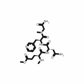 CN[C@@H](CCC(=O)OC)C(=O)N[C@@H](CC(N)=O)C(=O)N[C@@H](Cc1cccnc1)C(=O)N(C)CC(N)=O